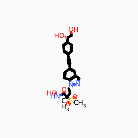 CC(CCn1ncc2cc(C#Cc3ccc([C@H](O)CO)cc3)ccc21)(C(=O)NO)S(C)(=O)=O